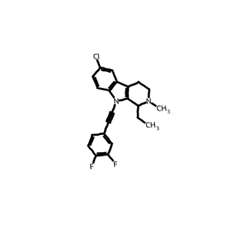 CCC1c2c(c3cc(Cl)ccc3n2C#Cc2ccc(F)c(F)c2)CCN1C